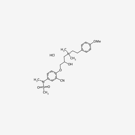 COc1ccc(CC[N+](C)(C)CC(O)COc2ccc(N(C)S(C)(=O)=O)cc2C#N)cc1.Cl